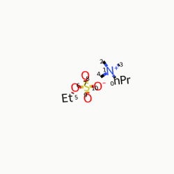 CCC[N+](C)(C)C.CCOS(=O)(=O)[O-]